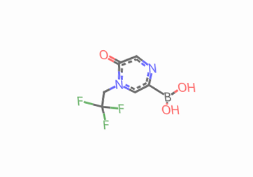 O=c1cnc(B(O)O)cn1CC(F)(F)F